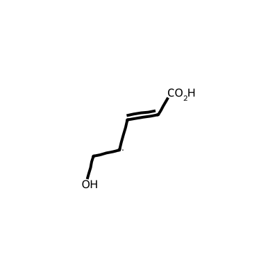 O=C(O)C=C[CH]CO